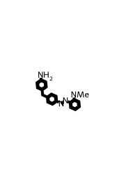 CNc1ccccc1N=Nc1ccc(Cc2ccc(N)cc2)cc1